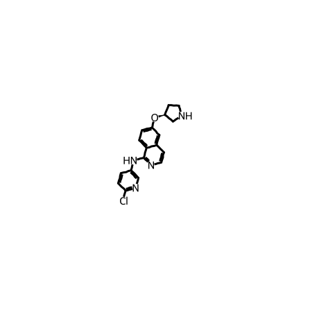 Clc1ccc(Nc2nccc3cc(O[C@H]4CCNC4)ccc23)cn1